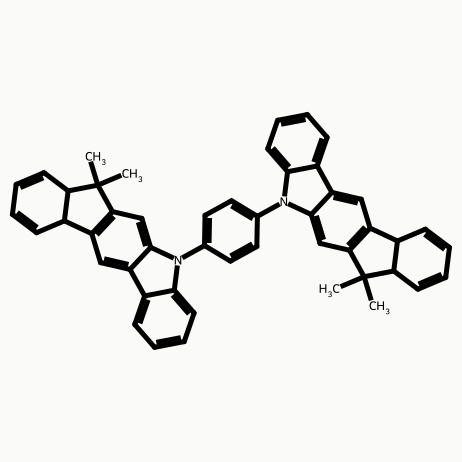 CC1(C)c2cc3c(cc2C2C=CC=CC21)c1ccccc1n3-c1ccc(-n2c3ccccc3c3cc4c(cc32)C(C)(C)C2C=CC=CC42)cc1